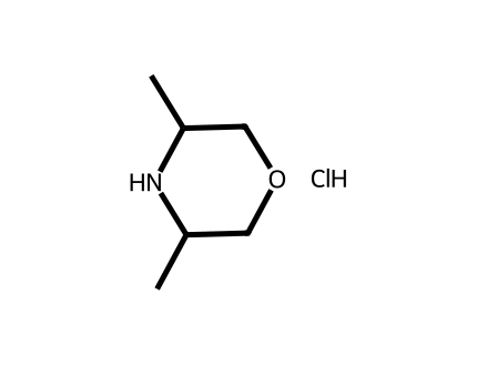 CC1COCC(C)N1.Cl